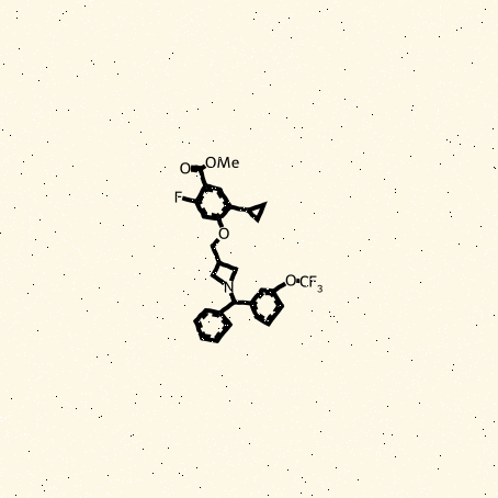 COC(=O)c1cc(C2CC2)c(OCC2CN(C(c3ccccc3)c3cccc(OC(F)(F)F)c3)C2)cc1F